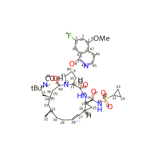 COc1cc(F)cc2c(O[C@@H]3C[C@H]4C(=O)N[C@]5(C(=O)NS(=O)(=O)C6CC6)C[C@H]5/C=C\CC[C@@H](C)C[C@@H](C)[C@H](N(C(=O)O)C(C)(C)C)C(=O)N4C3)nccc12